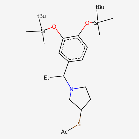 CCC(c1ccc(O[Si](C)(C)C(C)(C)C)c(O[Si](C)(C)C(C)(C)C)c1)N1CCC(SC(C)=O)C1